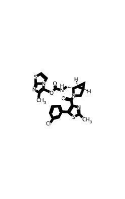 Cc1nc(C(=O)N2C[C@@H]3C[C@@H]3[C@H]2CNC(=O)Oc2c(C)nc3sccn23)c(-c2cccc(Cl)c2)s1